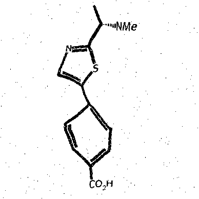 CN[C@@H](C)c1ncc(-c2ccc(C(=O)O)cc2)s1